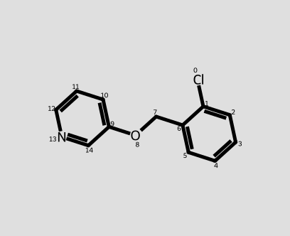 Clc1ccccc1COc1cccnc1